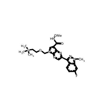 CONC(=O)c1cn(COCC[Si](C)(C)C)c2ncc(-c3nn(C)c4cc(F)ccc34)nc12